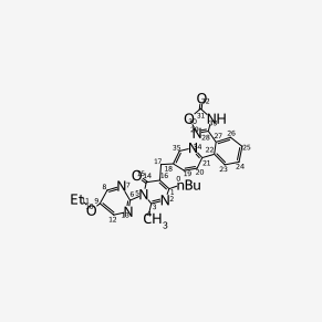 CCCCc1nc(C)n(-c2ncc(OCC)cn2)c(=O)c1Cc1ccc(-c2ccccc2-c2noc(=O)[nH]2)nc1